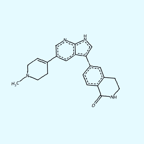 CN1CC=C(c2cnc3[nH]cc(-c4ccc5c(c4)CCNC5=O)c3c2)CC1